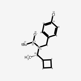 C[C@@H](C1CCC1)N(Cc1ccc(Cl)cc1)[S+]([O-])C(C)(C)C